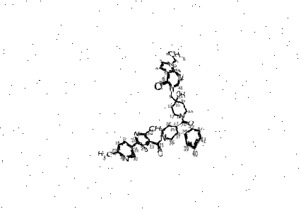 CCn1ccc2c(=O)n(CC3(O)CCN(C(=O)[C@@H]4CCN(C(=O)c5sc(-c6ccc(C)nc6)nc5C)C[C@H]4c4ccccc4)CC3)cnc21